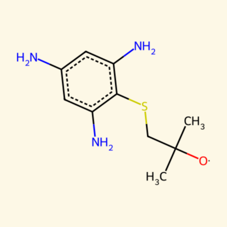 CC(C)([O])CSc1c(N)cc(N)cc1N